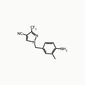 Cc1cc(Cn2cc(C#N)c(C(F)(F)F)n2)ccc1N